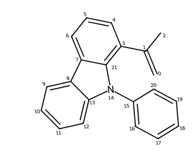 C=C(C)c1cccc2c3ccccc3n(-c3ccccc3)c12